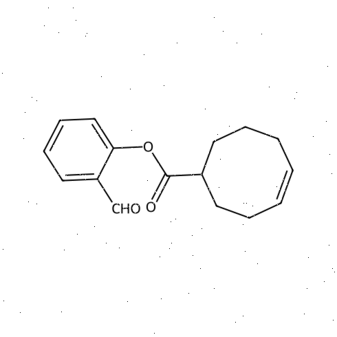 O=Cc1ccccc1OC(=O)C1CC/C=C\CCC1